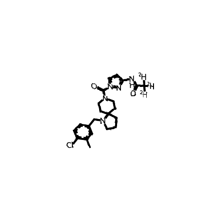 [2H]C([2H])([2H])C(=O)Nc1ccn(C(=O)N2CCC3(CCCN3Cc3ccc(Cl)c(C)c3)CC2)n1